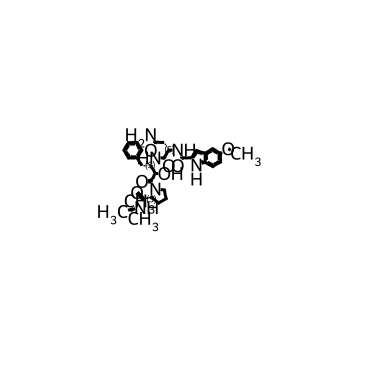 COc1ccc2[nH]c(C(=O)N[C@@H](CC(N)=O)C(=O)N[C@@H](Cc3ccccc3)C(O)C(=O)N3CCC[C@H]3C(=O)NC(C)(C)C)cc2c1